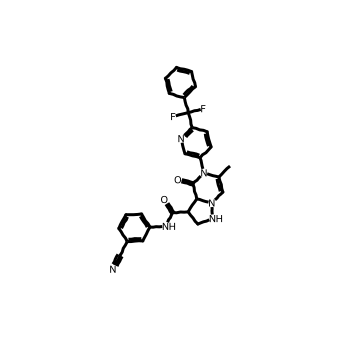 CC1=CN2NCC(C(=O)Nc3cccc(C#N)c3)C2C(=O)N1c1ccc(C(F)(F)c2ccccc2)nc1